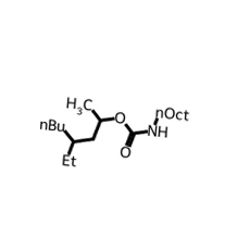 CCCCCCCCNC(=O)OC(C)CC(CC)CCCC